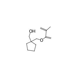 C=C(C)C(=C)OCC1(CO)CCCC1